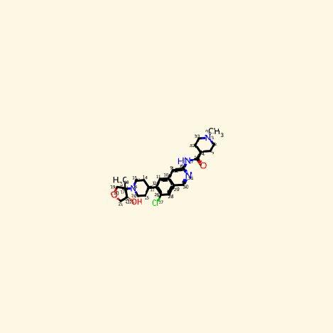 CN1CCC(C(=O)Nc2cc3cc(C4CCN([C@@]5(C)COC[C@H]5O)CC4)c(Cl)cc3cn2)CC1